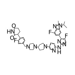 Cc1nc2c(F)cc(-c3nc(Nc4ccc(N5CCC(N6CCN(Cc7ccc(C8CCC(=O)NC8=O)c(F)c7)CC6)CC5)cn4)ncc3F)cc2n1C(C)C